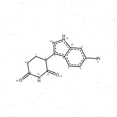 CC(C)c1ccc2c(C3CCC(=O)NC3=O)n[nH]c2c1